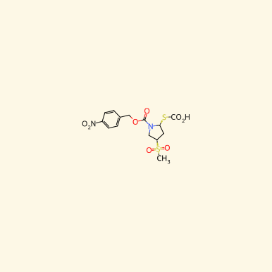 CS(=O)(=O)[C@@H]1C[C@H](SC(=O)O)N(C(=O)OCc2ccc([N+](=O)[O-])cc2)C1